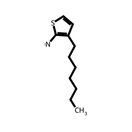 CCCCCCCc1ccsc1[N]